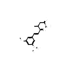 COc1cc(C=CC2=NNC(=O)CC2C)cc([S+](C)[O-])c1